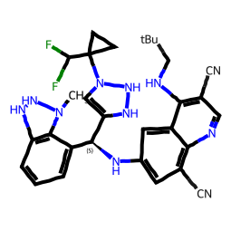 CN1NNc2cccc([C@H](Nc3cc(C#N)c4ncc(C#N)c(NCC(C)(C)C)c4c3)C3=CN(C4(C(F)F)CC4)NN3)c21